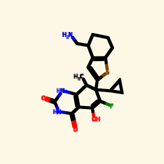 CC1c2[nH]c(=O)[nH]c(=O)c2C(O)=C(F)C1(c1cc2c(s1)CCCC2CN)C1CC1